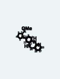 COC[C@@H]1CCCN1c1ccc2c(c1)NCc1cccnc1N2